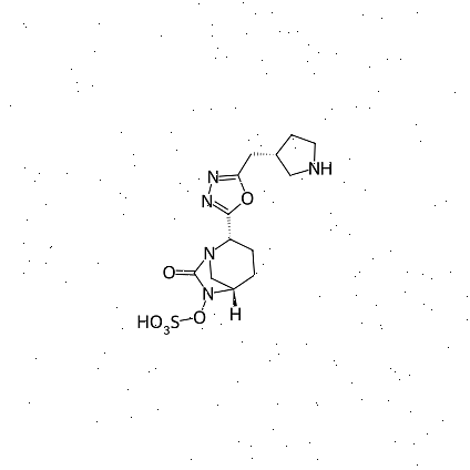 O=C1N2C[C@H](CC[C@H]2c2nnc(C[C@@H]3CCNC3)o2)N1OS(=O)(=O)O